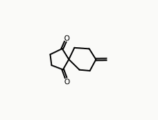 C=C1CCC2(CC1)C(=O)CCC2=O